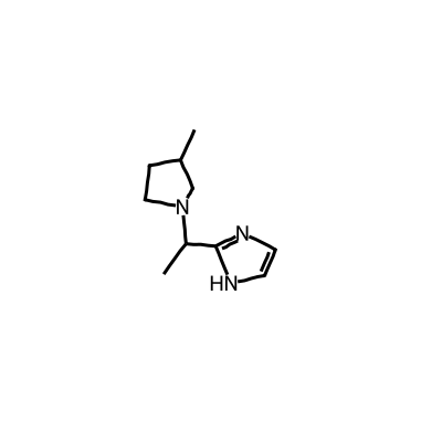 CC1CCN(C(C)c2ncc[nH]2)C1